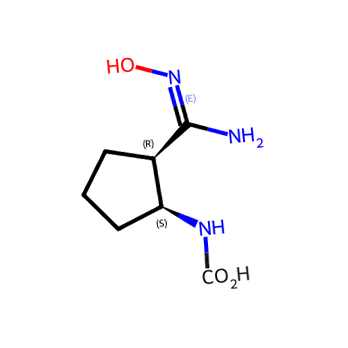 N/C(=N/O)[C@@H]1CCC[C@@H]1NC(=O)O